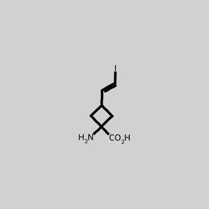 NC1(C(=O)O)CC(C=CI)C1